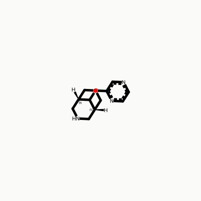 c1cnc(OC2[C@@H]3CNC[C@H]2COC3)cn1